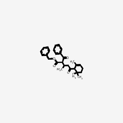 CC1=CCCC(C)(C)C1C(=O)CC(C)C(C(=O)OCc1ccccc1)C(=O)c1ccccc1